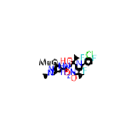 COc1cc(C(=O)NC[C@](O)(c2cc(C3(C(N)=O)CC3)c(F)c(-c3ccc(F)c(Cl)c3F)n2)C2CC2)cc2cn(C3CC3)nc12